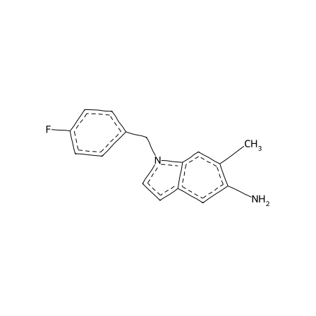 Cc1cc2c(ccn2Cc2ccc(F)cc2)cc1N